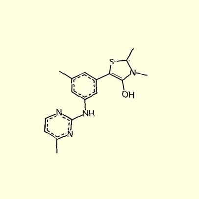 C[C]1SC(c2cc(C)cc(Nc3nccc(C)n3)c2)=C(O)N1C